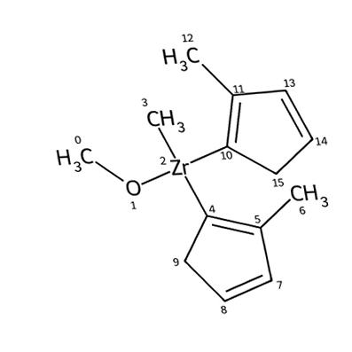 C[O][Zr]([CH3])([C]1=C(C)C=CC1)[C]1=C(C)C=CC1